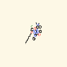 CCCCCCCCCCCCOc1ccc(Cl)cc1NC(=O)/C(=N\c1ccc(N(CC)CC)c2c1CCCC2)c1nc2cn(-c3ccccc3)cc2c(=O)n1-c1ccccc1